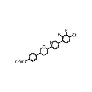 CCCCCc1ccc(C2CCC(c3ccc(-c4ccc(CC)c(F)c4F)cn3)OC2)cc1